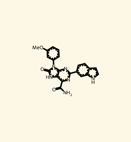 COc1cccc(-n2c(=O)[nH]c3c(C(N)=O)nc(-c4ccc5cc[nH]c5c4)nc32)c1